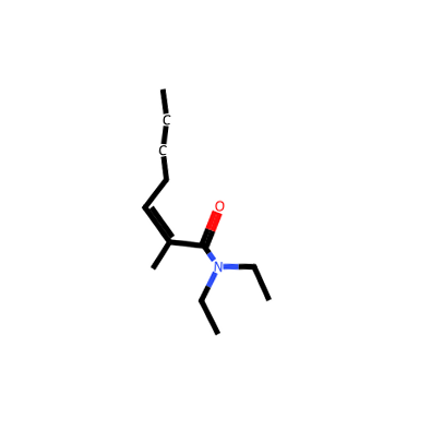 CCCCC=C(C)C(=O)N(CC)CC